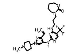 C=Cc1nn(C2CCN(C)CC2)cc1Nc1ncc(C(F)(F)F)c(NCCCN2CCCCOC2=O)n1